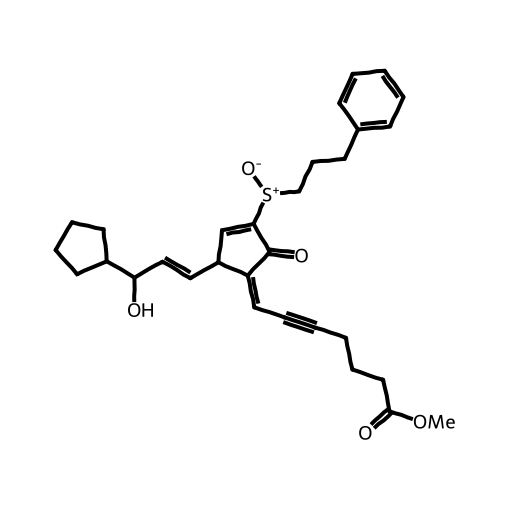 COC(=O)CCCC#C/C=C1\C(=O)C([S+]([O-])CCCc2ccccc2)=CC1/C=C/C(O)C1CCCC1